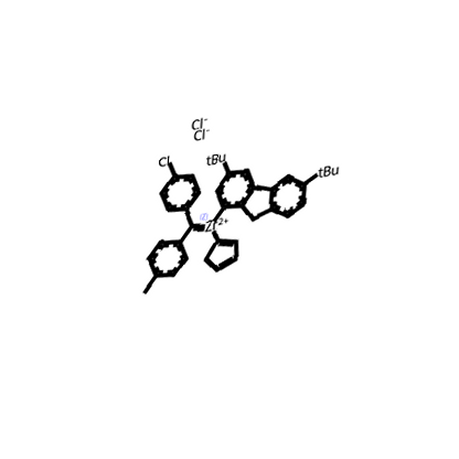 Cc1ccc(/[C](c2ccc(Cl)cc2)=[Zr+2](\[C]2=CC=CC2)[c]2cc(C(C)(C)C)cc3c2Cc2ccc(C(C)(C)C)cc2-3)cc1.[Cl-].[Cl-]